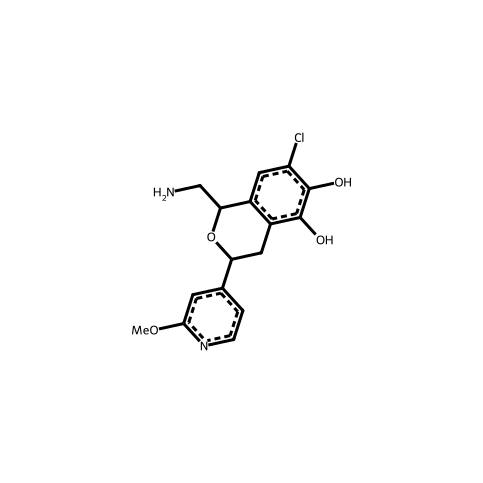 COc1cc(C2Cc3c(cc(Cl)c(O)c3O)C(CN)O2)ccn1